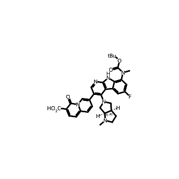 CN(C(=O)OC(C)(C)C)c1cc(F)cc2c1[nH]c1ncc(-c3ccc4ccc(C(=O)O)c(=O)n4c3)c(N3C[C@H]4CCN(C)[C@H]4C3)c12